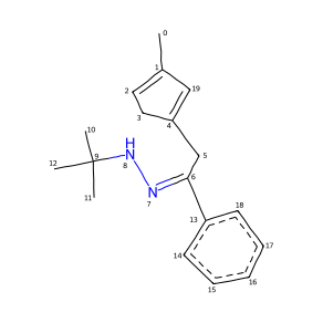 CC1=CCC(CC(=NNC(C)(C)C)c2ccccc2)=C1